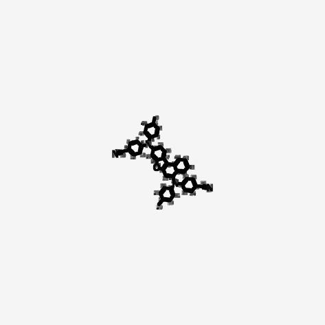 Cc1ccc(N(c2ccc(C#N)cc2)c2ccc3c(c2)oc2cc(N(c4ccc(C)cc4)c4ccc(C#N)cc4)c4ccccc4c23)cc1